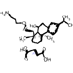 CC(C)c1ccc2c(c1)CC(O)C1[C@@](C)(C=NOCCCN)CCC[C@]21C.O=C(O)/C=C/C(=O)O